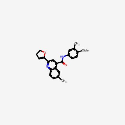 COc1ccc(NC(=O)c2cc(C3=CCCO3)nc3ccc(C)cc23)cc1C